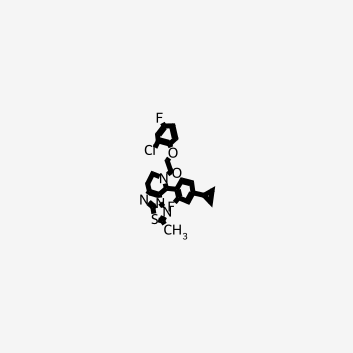 Cc1nn2c3c(nc2s1)CCN(C(=O)COc1ccc(F)cc1Cl)C3c1ccc(C2CC2)cc1F